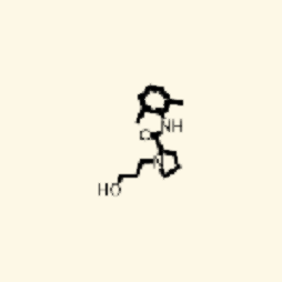 Cc1cccc(C)c1NC(=O)C1CCCN1CCCO